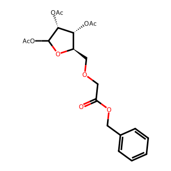 CC(=O)OC1O[C@H](COCC(=O)OCc2ccccc2)[C@@H](OC(C)=O)[C@H]1OC(C)=O